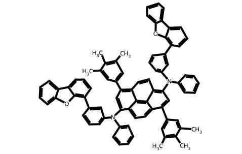 Cc1cc(-c2cc(N(c3ccccc3)c3cccc(-c4cccc5c4oc4ccccc45)c3)c3ccc4c(-c5cc(C)c(C)c(C)c5)cc(N(c5ccccc5)c5cccc(-c6cccc7c6oc6ccccc67)c5)c5ccc2c3c45)cc(C)c1C